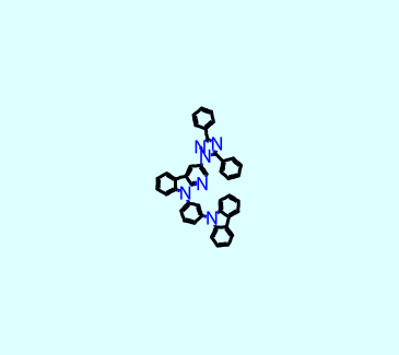 c1ccc(-c2nc(-c3ccccc3)n(-c3cnc4c(c3)c3ccccc3n4-c3cccc(-n4c5ccccc5c5ccccc54)c3)n2)cc1